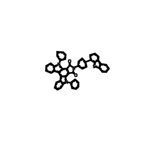 O=C1c2c(c3c(c4ccccc4n3-c3ccccc3)c3c4ccccc4n(-c4ccccc4)c23)C(=O)N1c1ccc(-c2cccc3c2sc2ccccc23)cc1